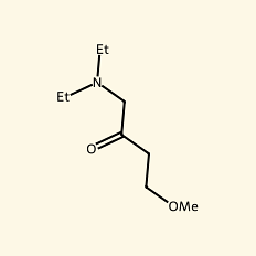 CCN(CC)CC(=O)CCOC